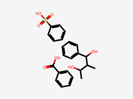 CC(O)C(C)C(O)c1ccccc1.O=C(O)c1ccccc1.O=S(=O)(O)c1ccccc1